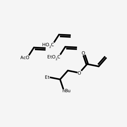 C=CC(=O)O.C=CC(=O)OCC.C=CC(=O)OCC(CC)CCCC.C=COC(C)=O